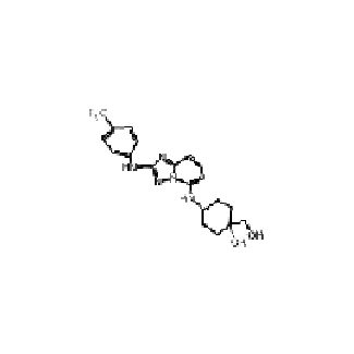 OC[C@]1(O)CC[C@@H](Nc2cccc3nc(Nc4ccc(C(F)(F)F)cc4)nn23)CC1